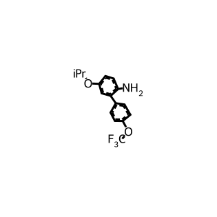 CC(C)Oc1ccc(N)c(-c2ccc(OC(F)(F)F)cc2)c1